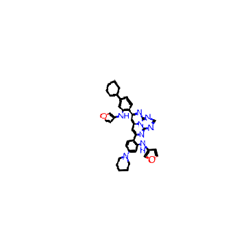 C1=NC2=NC(c3ccc(N4CCCCC4)cc3Nc3ccoc3)=CC3=CC(c4ccc(C5CCCCC5)cc4Nc4ccoc4)=NC(=N1)N32